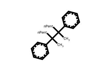 CCCCCC(C)(c1ccccc1)C(C)(CCCCC)c1ccccc1